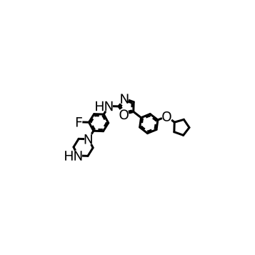 Fc1cc(Nc2ncc(-c3cccc(OC4CCCC4)c3)o2)ccc1N1CCNCC1